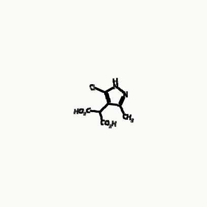 Cc1n[nH]c(Cl)c1C(C(=O)O)C(=O)O